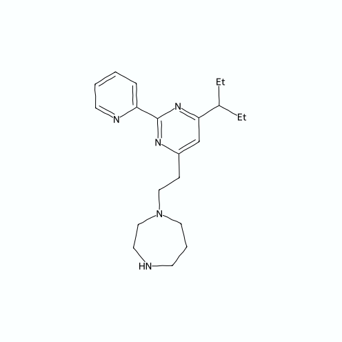 CCC(CC)c1cc(CCN2CCCNCC2)nc(-c2ccccn2)n1